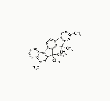 Bc1cc2c(c3ccccc13)-c1ccc3c(c1C2(C)C)C(C)(C)c1cc(C)ccc1-3